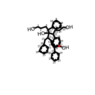 OCCCC(c1ccccc1)C(O)(C(CCC(CO)c1ccccc1)Cc1ccccc1)C(CCCO)c1ccccc1